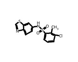 Cc1c(Cl)cccc1S(=O)(=O)Nc1ccc2ncsc2c1